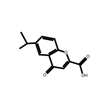 CC(C)c1ccc2oc(C(=O)O)cc(=O)c2c1